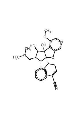 COc1cncc2c1[C@]1(O)[C@H](O)[C@H](CN(C)C)[C@@H](c3ccccc3)[C@]1(C1C=CC(C#N)=CC1)O2